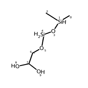 C[SiH](C)O[SiH2]O[CH][C](O)O